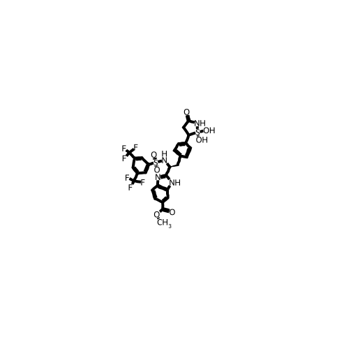 COC(=O)c1ccc2nc([C@H](Cc3ccc(C4CC(=O)NS4(O)O)cc3)NS(=O)(=O)c3cc(C(F)(F)F)cc(C(F)(F)F)c3)[nH]c2c1